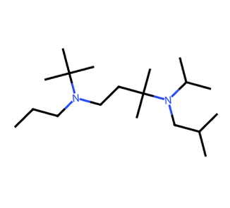 CCCN(CCC(C)(C)N(CC(C)C)C(C)C)C(C)(C)C